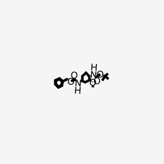 CO[C@@H]1C[C@@H](NC(=O)OCc2ccccc2)CC[C@@H]1NC(=O)OC(C)(C)C